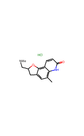 CNCC1Cc2cc(C)c3[nH]c(=O)ccc3c2O1.Cl